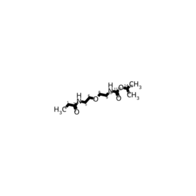 CCC(=O)NCCOCCNC(=O)OC(C)C